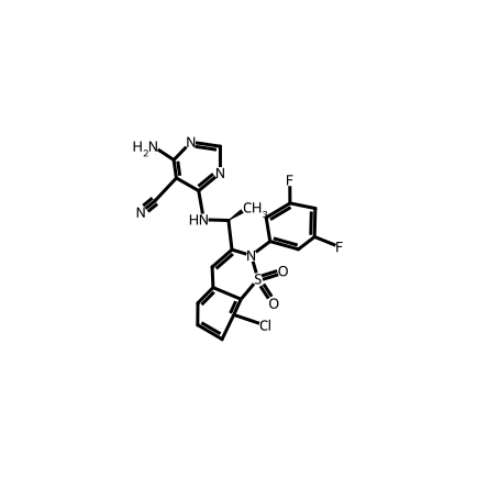 C[C@H](Nc1ncnc(N)c1C#N)C1=Cc2cccc(Cl)c2S(=O)(=O)N1c1cc(F)cc(F)c1